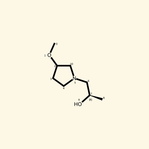 COC1CCN(C[C@@H](C)O)C1